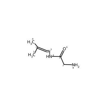 CC(C)=NNC(=O)CN